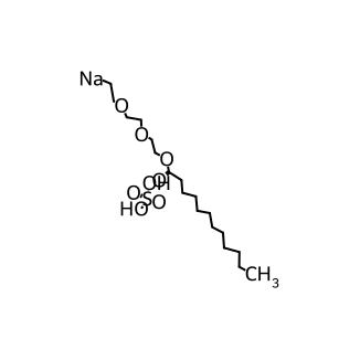 CCCCCCCCCCCC(=O)OCCOCCOC[CH2][Na].O=S(=O)(O)O